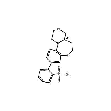 CS(=O)(=O)c1ccccc1-c1ccc2c(c1)OCC[C@H]1CNCCN21